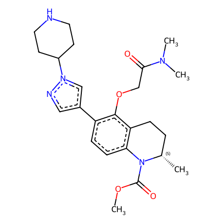 COC(=O)N1c2ccc(-c3cnn(C4CCNCC4)c3)c(OCC(=O)N(C)C)c2CC[C@@H]1C